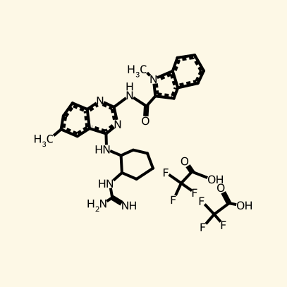 Cc1ccc2nc(NC(=O)c3cc4ccccc4n3C)nc(NC3CCCCC3NC(=N)N)c2c1.O=C(O)C(F)(F)F.O=C(O)C(F)(F)F